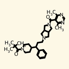 Cc1ncnc(C)c1C(=O)N1CC2CN(CCC(c3ccccc3)C3CCN(C(=O)C(C)(C)C)CC3)CC2C1